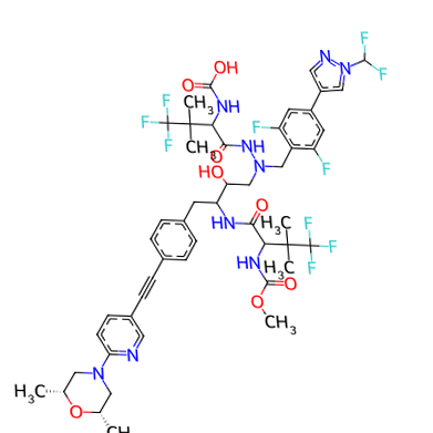 COC(=O)NC(C(=O)NC(Cc1ccc(C#Cc2ccc(N3C[C@@H](C)O[C@@H](C)C3)nc2)cc1)C(O)CN(Cc1c(F)cc(-c2cnn(C(F)F)c2)cc1F)NC(=O)C(NC(=O)O)C(C)(C)C(F)(F)F)C(C)(C)C(F)(F)F